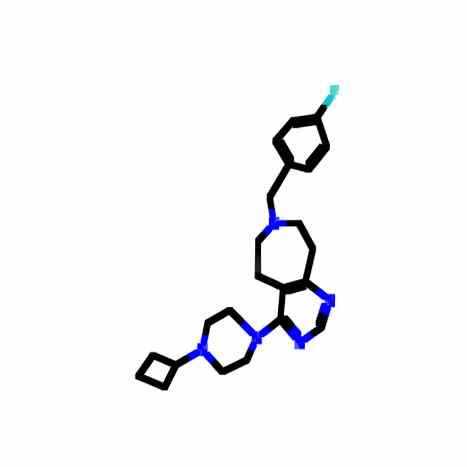 Fc1ccc(CN2CCc3ncnc(N4CCN(C5CCC5)CC4)c3CC2)cc1